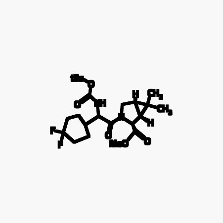 COC(=O)[C@@H]1[C@@H]2[C@H](CN1C(=O)C(NC(=O)OC(C)(C)C)C1CCC(F)(F)CC1)C2(C)C